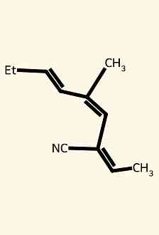 C\C=C(C#N)/C=C(C)\C=C\CC